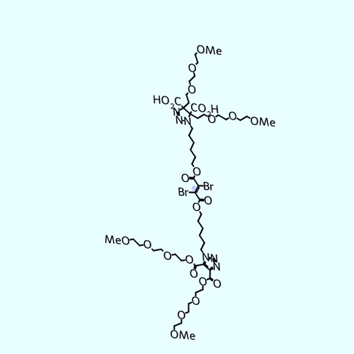 COCCOCCOCCOC(=O)c1nnn(CCCCCCOC(=O)/C(Br)=C(\Br)C(=O)OCCCCCCN2N=NC(CCOCCOCCOC)(C(=O)O)C2(CCOCCOCCOC)C(=O)O)c1C(=O)OCCOCCOCCOC